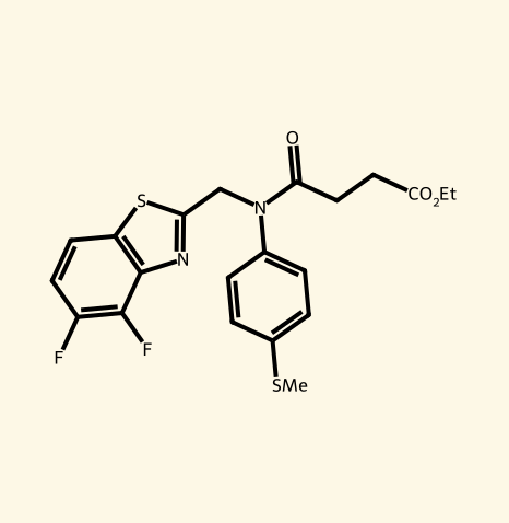 CCOC(=O)CCC(=O)N(Cc1nc2c(F)c(F)ccc2s1)c1ccc(SC)cc1